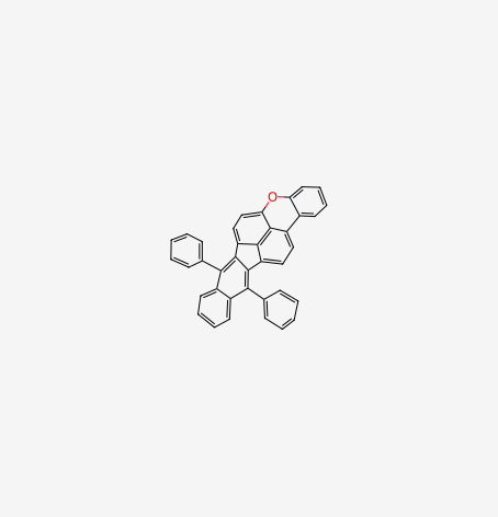 c1ccc(-c2c3ccccc3c(-c3ccccc3)c3c4ccc5c6ccccc6oc6ccc(c23)c4c65)cc1